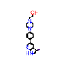 OCCN1CCN(c2ccc(-c3cnc4[nH]cc(I)c4c3)cc2)CC1